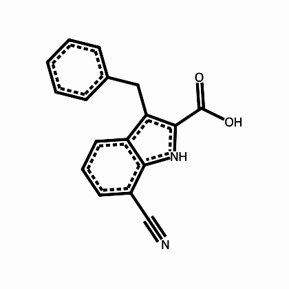 N#Cc1cccc2c(Cc3ccccc3)c(C(=O)O)[nH]c12